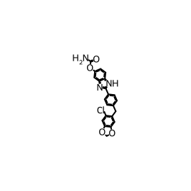 NC(=O)Oc1ccc2[nH]c(-c3ccc(Cc4cc5c(cc4Cl)OCO5)cc3)nc2c1